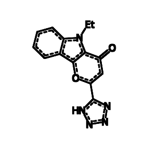 CCn1c2ccccc2c2oc(-c3nnn[nH]3)cc(=O)c21